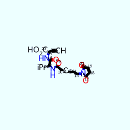 C#C[C@H](NC(=O)[C@@H](NC(=O)CCCCCN1C(=O)C=CC1=O)C(C)C)C(=O)O